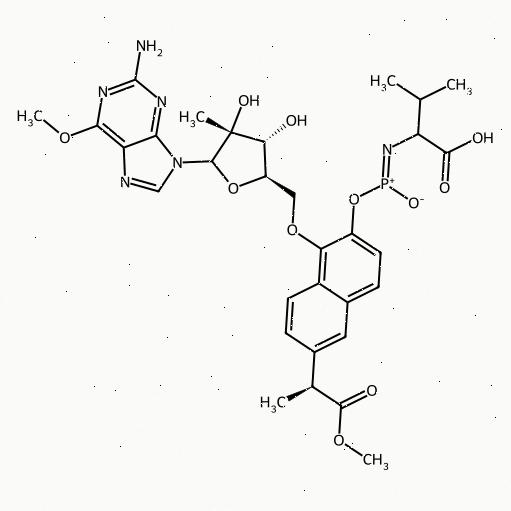 COC(=O)[C@@H](C)c1ccc2c(OC[C@H]3OC(n4cnc5c(OC)nc(N)nc54)[C@](C)(O)[C@@H]3O)c(O/[P+]([O-])=N/C(C(=O)O)C(C)C)ccc2c1